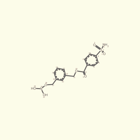 NS(=O)(=O)c1ccc(C(=O)OCc2cccc(CON(O)O)c2)cc1